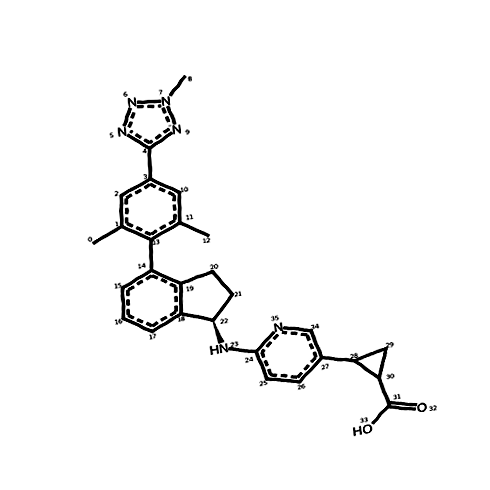 Cc1cc(-c2nnn(C)n2)cc(C)c1-c1cccc2c1CC[C@H]2Nc1ccc(C2CC2C(=O)O)cn1